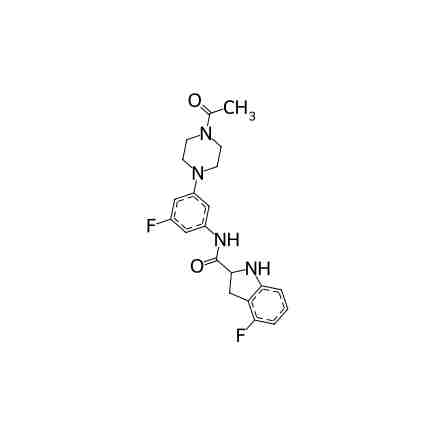 CC(=O)N1CCN(c2cc(F)cc(NC(=O)C3Cc4c(F)cccc4N3)c2)CC1